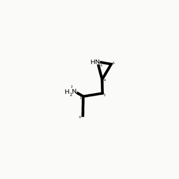 CC(N)CC1CN1